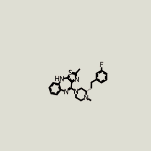 Cc1nc2c(s1)Nc1ccccc1N=C2N1CCN(C)[C@@H](CCc2cccc(F)c2)C1